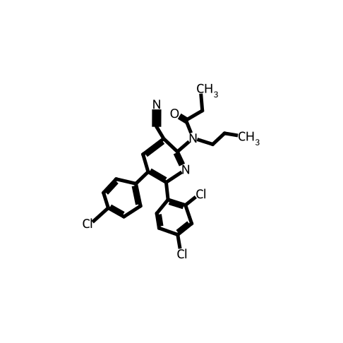 CCCN(C(=O)CC)c1nc(-c2ccc(Cl)cc2Cl)c(-c2ccc(Cl)cc2)cc1C#N